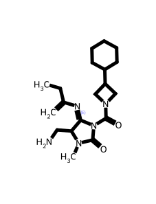 C=C(CC)/N=C1\C(CN)N(C)C(=O)N1C(=O)N1CC(C2CCCCC2)C1